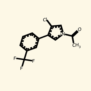 CC(=O)n1cc(Cl)c(-c2cccc(C(F)(F)F)c2)c1